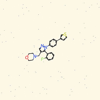 Fc1ccccc1-c1c(CN2CCOCC2)cnn1-c1ccc(-c2ccsc2)cc1